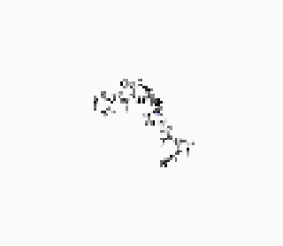 N#C[C@@H]1CCCN1C(=O)CN/C=C(\C=N)Nc1ncc(Cl)c(NCc2ccccc2)n1